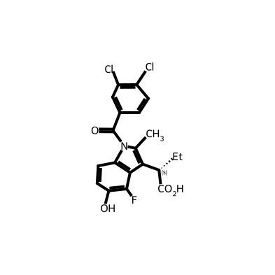 CC[C@H](C(=O)O)c1c(C)n(C(=O)c2ccc(Cl)c(Cl)c2)c2ccc(O)c(F)c12